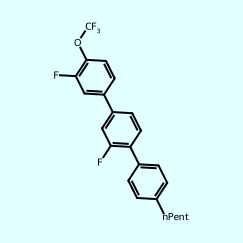 CCCCCc1ccc(-c2ccc(-c3ccc(OC(F)(F)F)c(F)c3)cc2F)cc1